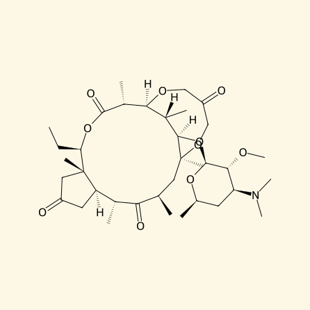 CC[C@H]1OC(=O)[C@H](C)[C@H]2OCC(=O)CO[C@@](C)(C[C@@H](C)C(=O)[C@H](C)[C@H]3CC(=O)C[C@@]31C)[C@H](O[C@@H]1O[C@H](C)C[C@H](N(C)C)[C@H]1OC)[C@H]2C